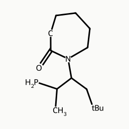 CC(P)C(CC(C)(C)C)N1CCCCCC1=O